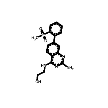 CS(=O)(=O)c1ccccc1-c1ccc2c(NCCO)nc(N)nc2c1